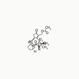 CC(=O)OCC1=C2CC(C#N)(C#N)C3C[C@H]4CC[C@@H]([C@@H]3C=C2CC1=O)N4C(=O)OC(C)(C)C